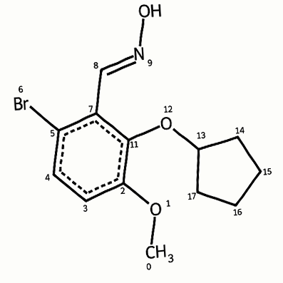 COc1ccc(Br)c(/C=N/O)c1OC1CCCC1